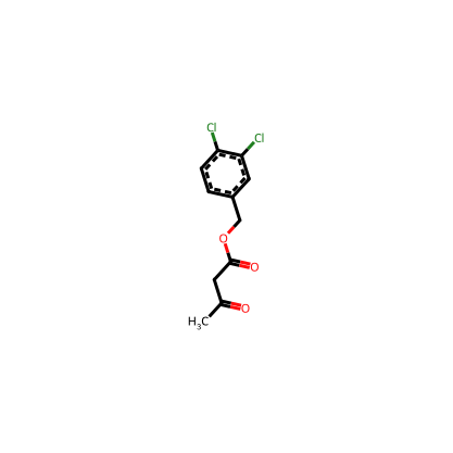 CC(=O)CC(=O)OCc1ccc(Cl)c(Cl)c1